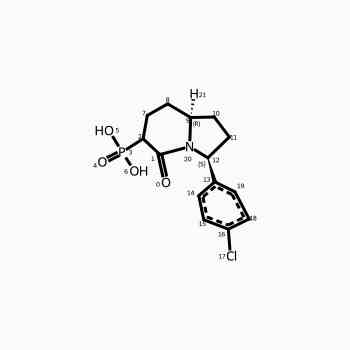 O=C1C(P(=O)(O)O)CC[C@H]2CC[C@@H](c3ccc(Cl)cc3)N12